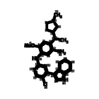 COc1cc(N(C)C2CCN(C)C2)c(N)cc1Nc1ncc(Cl)c(-c2c[nH]c3ccccc23)n1